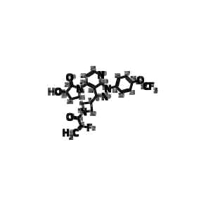 C=C(F)C(=O)N1CC(c2nn(-c3ccc(OC(F)(F)F)cc3)c3nccc(N4CCC(O)C4=O)c23)C1